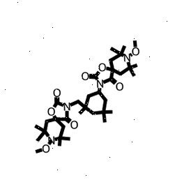 CON1C(C)(C)CC2(CC1(C)C)OC(=O)N(CC1(C)CC(N3C(=O)OC4(CC(C)(C)N(OC)C(C)(C)C4)C3=O)CC(C)(C)C1)C2=O